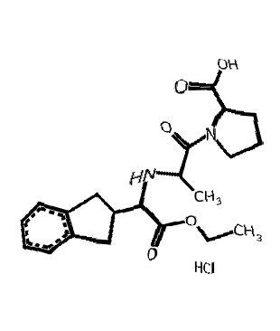 CCOC(=O)C(NC(C)C(=O)N1CCCC1C(=O)O)C1Cc2ccccc2C1.Cl